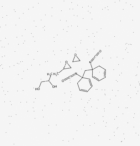 C1CO1.CC(O)CO.CC1CO1.O=C=NC1(CC2(N=C=O)C=CC=CC2)C=CC=CC1